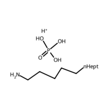 CCCCCCCCCCCCN.O=P(O)(O)O.[H+]